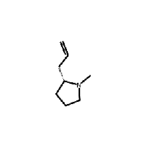 C=CC[C@H]1CCCN1C